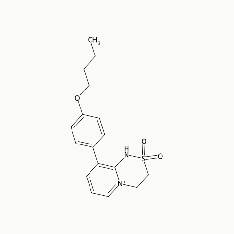 CCCCOc1ccc(-c2ccc[n+]3c2NS(=O)(=O)CC3)cc1